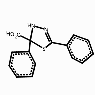 O=C(O)C1(c2ccccc2)NN=C(c2ccccc2)S1